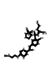 COCCOc1cnc(/C(F)=C/c2ccc(F)c(C(C)(/N=C(/N)CCF)[C@@H]3CCCS3(=O)=O)c2)cn1